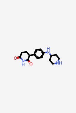 O=C1CCC(c2ccc(NC3CCNCC3)cc2)C(=O)N1